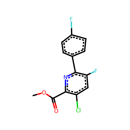 COC(=O)c1nc(-c2ccc(F)cc2)c(F)cc1Cl